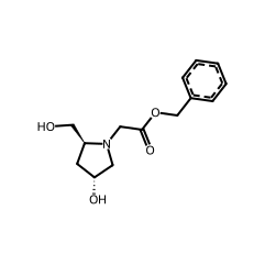 O=C(CN1C[C@H](O)C[C@H]1CO)OCc1ccccc1